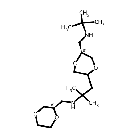 CC(C)(C)NC[C@H]1COC(CC(C)(C)NC[C@@H]2COCCO2)CO1